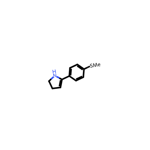 CSc1ccc(C2=CCCN2)cc1